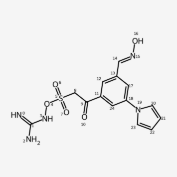 N=C(N)NOS(=O)(=O)CC(=O)c1cc(C=NO)cc(-n2cccc2)c1